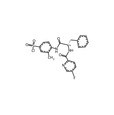 Cc1cc(S(=O)(=O)Cl)ccc1NC(=O)[C@H](Cc1ccccc1)NC(=O)c1ccc(F)cn1